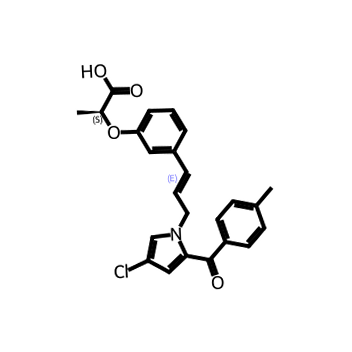 Cc1ccc(C(=O)c2cc(Cl)cn2C/C=C/c2cccc(O[C@@H](C)C(=O)O)c2)cc1